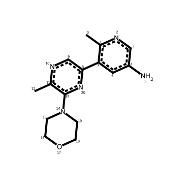 Cc1ncc(N)cc1-c1cnc(C)c(N2CCOCC2)n1